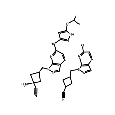 N#CC1CC(Cn2ncc3ncc(Cl)nc32)C1.N#C[C@]1(N)C[C@@H](Cn2ncc3ncc(Nc4cc(OC(F)F)[nH]n4)nc32)C1